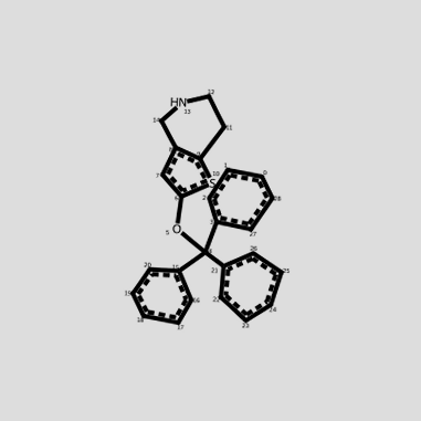 c1ccc(C(Oc2cc3c(s2)CCNC3)(c2ccccc2)c2ccccc2)cc1